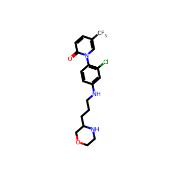 O=c1ccc(C(F)(F)F)cn1-c1ccc(NCCCC2COCCN2)cc1Cl